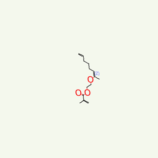 C=CCCC/C=C(/C)OCCOC(=O)C(=C)C